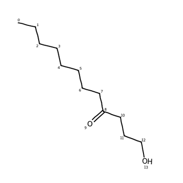 CCCCCCCCC(=O)CCCO